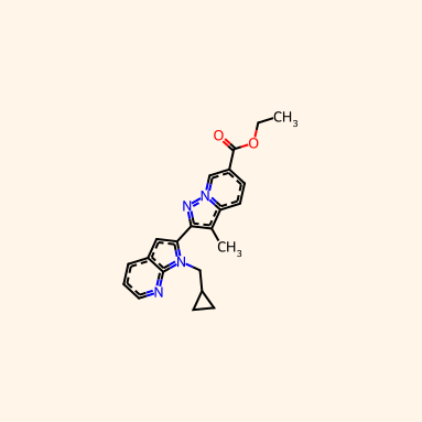 CCOC(=O)c1ccc2c(C)c(-c3cc4cccnc4n3CC3CC3)nn2c1